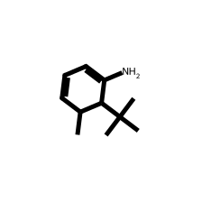 CC1C=CC=C(N)C1C(C)(C)C